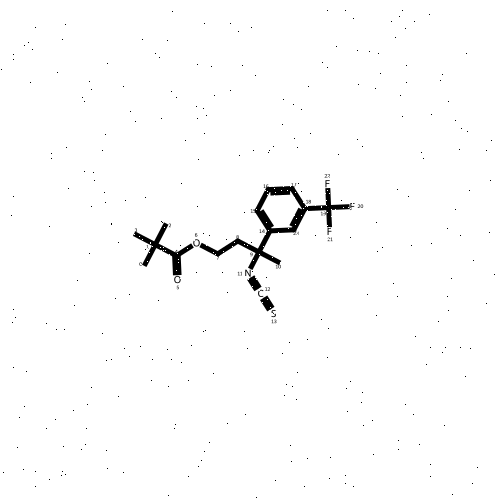 CC(C)(C)C(=O)OCCC(C)(N=C=S)c1cccc(C(F)(F)F)c1